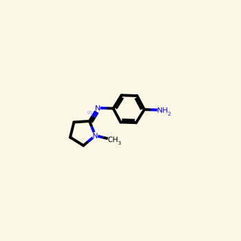 CN1CCC/C1=N/c1ccc(N)cc1